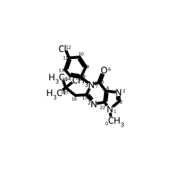 Cn1cnc2c(=O)n(-c3ccc(Cl)cc3)c(CC(C)(C)C)nc21